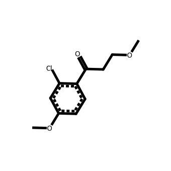 COCCC(=O)c1ccc(OC)cc1Cl